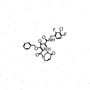 C[C@H]1C=CC(=O)[C@H]2CN1C(=O)c1c(OCc3ccccc3)c(=O)c(C(=O)NCc3ccc(F)c(Cl)c3F)cn12